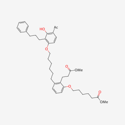 COC(=O)CCCCCOc1cccc(CCCCCCOc2ccc(C(C)=O)c(O)c2CCCc2ccccc2)c1CCC(=O)OC